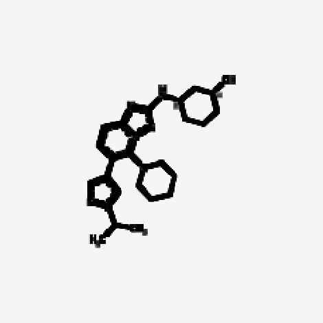 CC(C)n1cc(-c2ccc3nc(N[C@@H]4CCC[C@H](O)C4)nn3c2N2CCCCC2)cn1